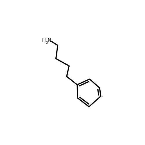 NCCCCc1cc[c]cc1